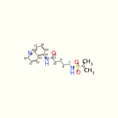 CC(C)S(=O)(=O)NCCCCC(=O)Nc1cccc2ncccc12